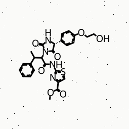 COC(=O)c1csc(NC(=O)C(C(C)c2ccccc2)N2C(=O)N[C@H](c3ccc(OCCO)cc3)C2=O)n1